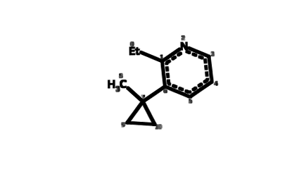 CCc1ncccc1C1(C)CC1